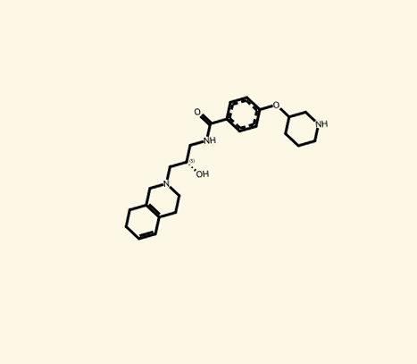 O=C(NC[C@H](O)CN1CCC2=C(CCC=C2)C1)c1ccc(OC2CCCNC2)cc1